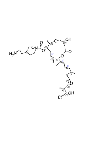 CC[C@H](O)[C@@H](C)[C@H]1O[C@@H]1C[C@H](C)/C=C/C=C(\C)[C@H]1OC(=O)C[C@H](O)CC[C@H](C)[C@@H](OC(=O)N2CCN(CCN)CC2)/C=C/[C@@H]1C